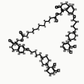 O=C(CCCCCCCCCCC(=O)OCN1C(=O)CCc2ccc(OCCCCN3CCN(c4cccc(Cl)c4Cl)CC3)cc21)OCN1C(=O)CCc2ccc(OCCCCN3CCN(c4cccc(Cl)c4Cl)CC3)cc21